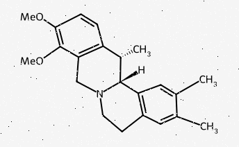 COc1ccc2c(c1OC)CN1CCc3cc(C)c(C)cc3[C@H]1[C@H]2C